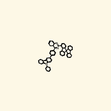 C1=CCC2C(=C1)N=C(c1cccc3c1-c1ccccc1C31c3ccccc3-c3ccccc31)N=C2c1ccc(-c2ccc3c(c2)c2ccccc2n3-c2ccccc2)cc1